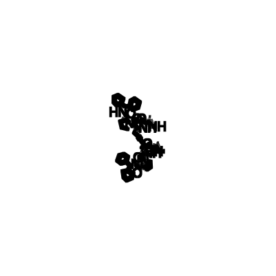 CN[C@@H](C)C(=O)N[C@@H](CC#CCC[C@H](NC(=O)[C@H](C)NC)C(=O)N1CCC[C@H]1C(=O)NC(c1ccccc1)c1ccccc1)C(=O)N1CCC[C@H]1C(=O)NC(c1ccccc1)c1ccccc1